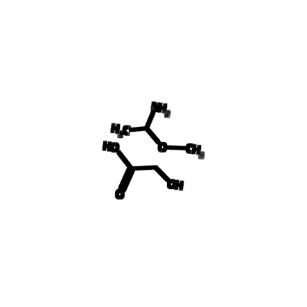 COC(C)N.O=C(O)CO